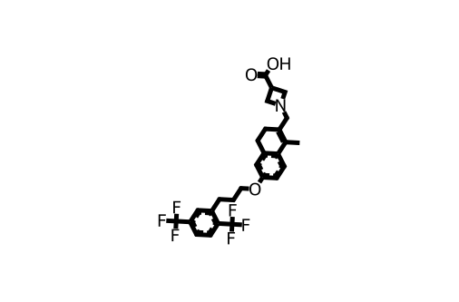 CC1=C(CN2CC(C(=O)O)C2)CCc2cc(OCCCc3cc(C(F)(F)F)ccc3C(F)(F)F)ccc21